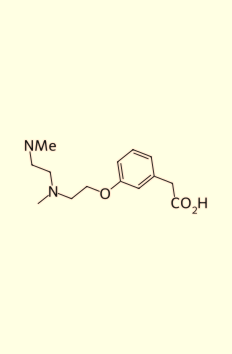 CNCCN(C)CCOc1cccc(CC(=O)O)c1